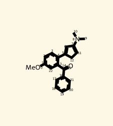 COc1ccc(C2=CC(N(C)C)=CC2)c(C(=O)c2ccccc2)c1